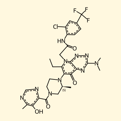 CCc1c(N2CCN(C(=O)c3ncnc(C)c3O)C[C@@H]2C)c(=O)c2nc(N(C)C)nnc2n1CC(=O)Nc1ccc(C(F)(F)F)cc1Cl